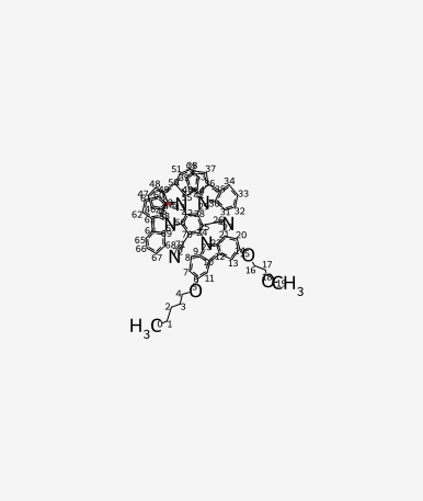 CCCCCOc1ccc2c(c1)c1cc(OCCOC)ccc1n2-c1c(C#N)c(-n2c3ccccc3c3ccccc32)c(-n2c3ccccc3c3ccccc32)c(-n2c3ccccc3c3ccccc32)c1C#N